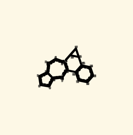 c1cc2nc[n+]3c(nc-2c1)-c1ccccc1C1CC13